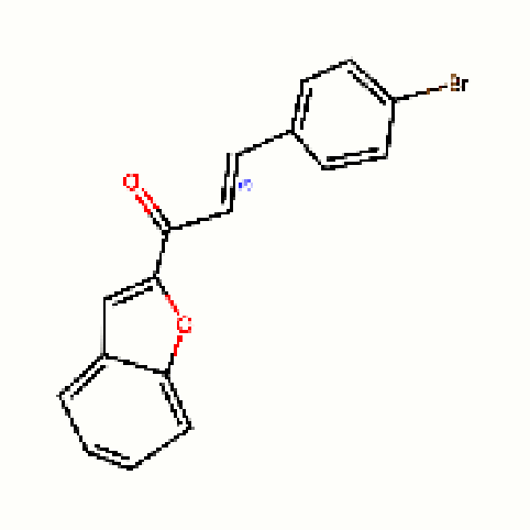 O=C(/C=C/c1ccc(Br)cc1)c1cc2ccccc2o1